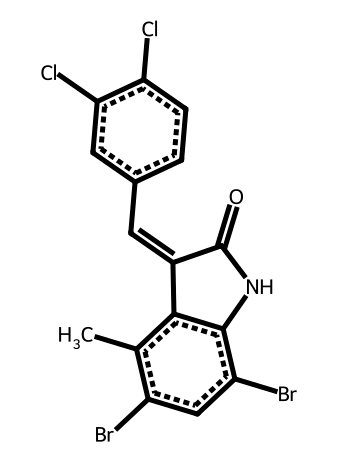 Cc1c(Br)cc(Br)c2c1C(=Cc1ccc(Cl)c(Cl)c1)C(=O)N2